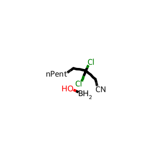 BO.CCCCCCC(Cl)(Cl)CC#N